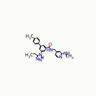 CCc1nnnn1-c1cc(C(=O)NCc2ccnc(NC)c2)cc(-c2ccc(C)cc2)c1